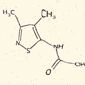 Cc1nsc(NC(=O)O)c1C